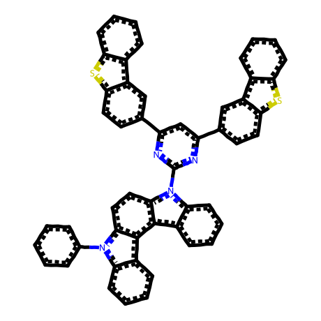 c1ccc(-n2c3ccccc3c3c4c5ccccc5n(-c5nc(-c6ccc7sc8ccccc8c7c6)cc(-c6ccc7sc8ccccc8c7c6)n5)c4ccc32)cc1